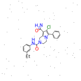 CCc1cccc(NC(=O)N2CCn3c(c(C(N)=O)c(Cl)c3-c3ccccc3)C2)c1